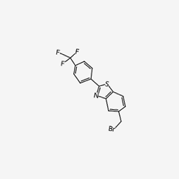 FC(F)(F)c1ccc(-c2nc3cc(CBr)ccc3s2)cc1